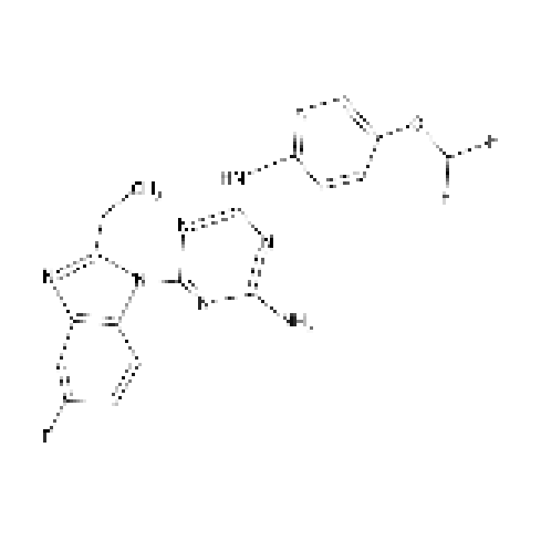 CCc1nc2cc(F)ccc2n1-c1nc(N)nc(Nc2ccc(OC(F)F)cc2)n1